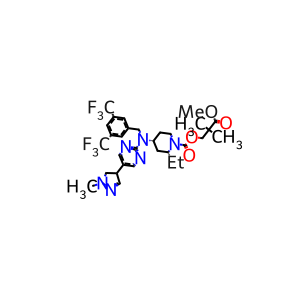 CC[C@@H]1C[C@H](N(Cc2cc(C(F)(F)F)cc(C(F)(F)F)c2)c2ncc(C3C=NN(C)C3)cn2)CCN1C(=O)OCC(C)(C)C(=O)OC